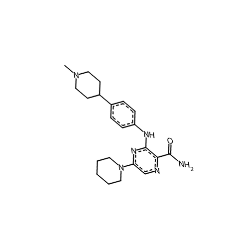 CN1CCC(c2ccc(Nc3nc(N4CCCCC4)cnc3C(N)=O)cc2)CC1